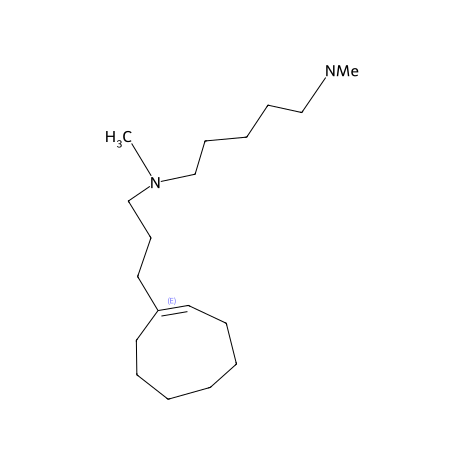 CNCCCCCN(C)CCC/C1=C/CCCCCC1